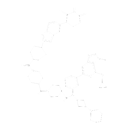 CC(C)n1cnc2cc(-c3ccc4c(c3)N(C3CC(N5CCCCC5)C3)C(=O)C43CCN(C(=O)C4CCN(C(=O)C5CCC(n6cc7cc(C8CCC(=O)NC8=O)ccc7n6)CC5)CC4)CC3)nc(NC3CC3)c21